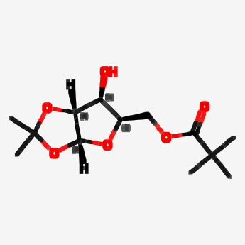 CC1(C)O[C@H]2O[C@H](COC(=O)C(C)(C)C)[C@H](O)[C@H]2O1